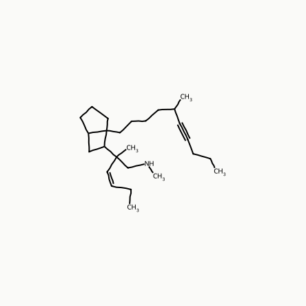 CC/C=C\C(C)(CNC)C1CC2CCCC21CCCCC(C)C#CCCC